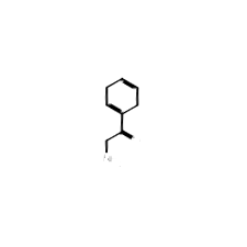 NCC(=O)C1=CCC=CC1